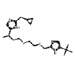 CC(CCOCCOCc1ncc(C(C)(C)C)[nH]1)c1cnc(CC2CC2)[nH]1